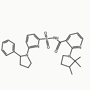 CC1CCN(c2ncccc2C(=O)NS(=O)(=O)c2cccc(N3CCCC3c3ccccc3)n2)C1(C)C